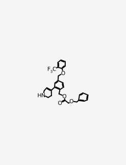 O=C(COCc1ccccc1)OCc1ccc(COc2ccccc2C(F)(F)F)cc1C1=CCNCC1